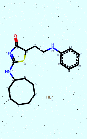 Br.O=C1N=C(NC2CCCCCCC2)SC1CCNc1ccccc1